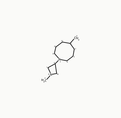 CC1CCCN(C2CN(C)C2)CCC1